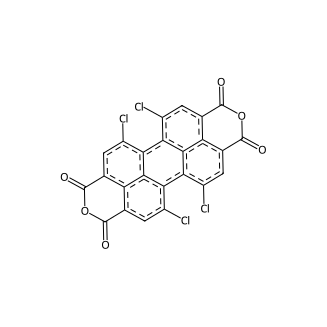 O=C1OC(=O)c2cc(Cl)c3c4c(Cl)cc5c6c(cc(Cl)c(c7c(Cl)cc1c2c73)c64)C(=O)OC5=O